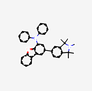 CN1C(C)(C)c2ccc(-c3cc(N(c4ccccc4)c4ccccc4)c4oc5ccccc5c4c3)cc2C1(C)C